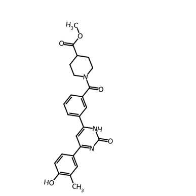 COC(=O)C1CCN(C(=O)c2cccc(-c3cc(-c4ccc(O)c(C)c4)nc(=O)[nH]3)c2)CC1